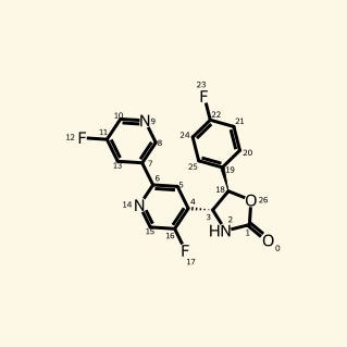 O=C1N[C@H](c2cc(-c3cncc(F)c3)ncc2F)[C@@H](c2ccc(F)cc2)O1